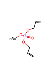 [CH]CCCOP(=O)(OCC=C)OCC=C